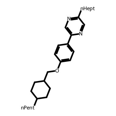 CCCCCCCc1cnc(-c2ccc(OCC3CCC(CCCCC)CC3)cc2)cn1